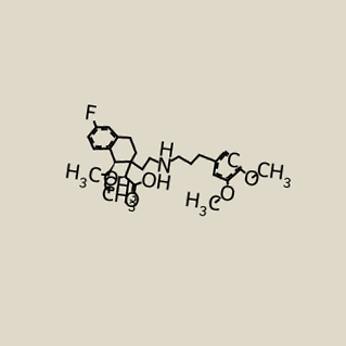 COc1ccc(CCCNCCC2([C@H](OC)C(=O)O)CCc3cc(F)ccc3[C@@H]2C(C)C)cc1OC